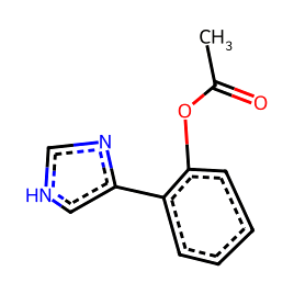 CC(=O)Oc1ccccc1-c1c[nH]cn1